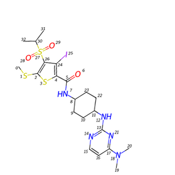 CSc1sc(C(=O)NC2CCC(Nc3nccc(N(C)C)n3)CC2)c(I)c1S(=O)(=O)C(C)C